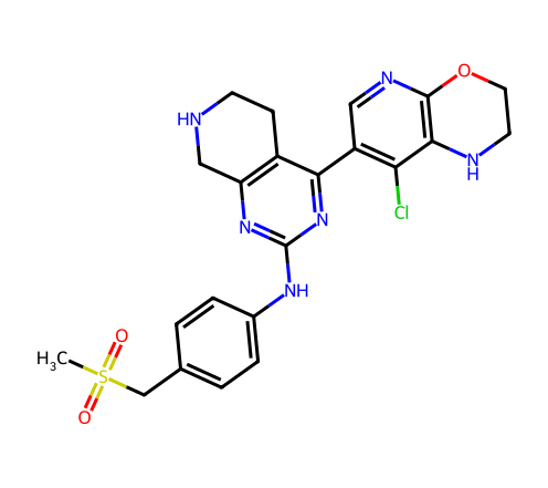 CS(=O)(=O)Cc1ccc(Nc2nc3c(c(-c4cnc5c(c4Cl)NCCO5)n2)CCNC3)cc1